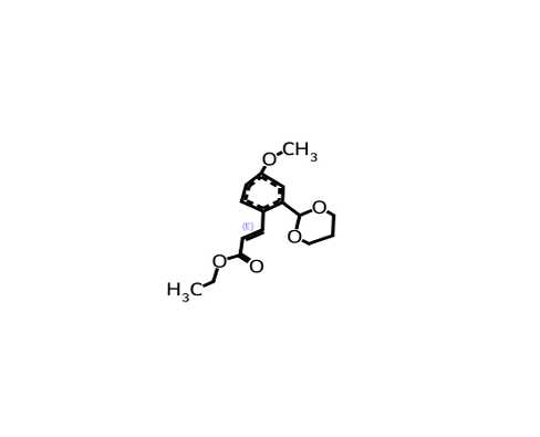 CCOC(=O)/C=C/c1ccc(OC)cc1C1OCCCO1